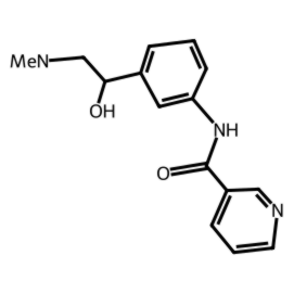 CNCC(O)c1cccc(NC(=O)c2cccnc2)c1